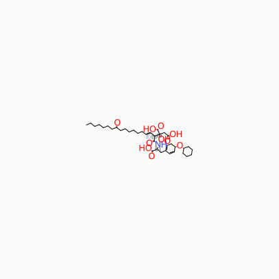 CCCCCCCC(=O)CCCCCC/C=C/[C@H](C(=O)N[C@@H](CC1=CCC(OC2CCCCC2)C=C1)C(=O)O)[C@@](O)(CC(=O)O)C(=O)O